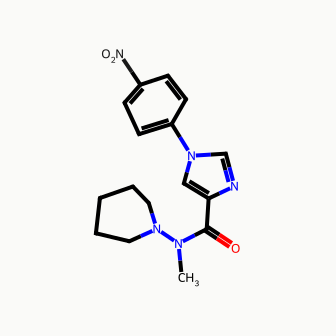 CN(C(=O)c1cn(-c2ccc([N+](=O)[O-])cc2)cn1)N1CCCCC1